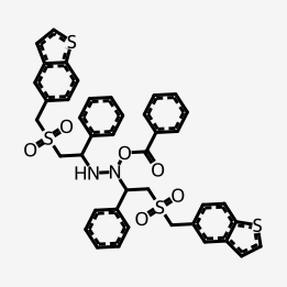 O=C(ON(NC(CS(=O)(=O)Cc1ccc2sccc2c1)c1ccccc1)C(CS(=O)(=O)Cc1ccc2sccc2c1)c1ccccc1)c1ccccc1